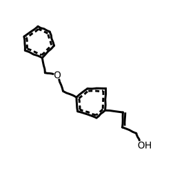 OCC=Cc1ccc(COCc2ccccc2)cc1